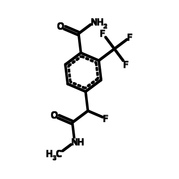 CNC(=O)C(F)c1ccc(C(N)=O)c(C(F)(F)F)c1